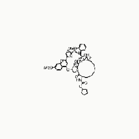 COc1ccc2c(O[C@@H]3C[C@H]4C(=O)N[C@]5(P(=O)(O)Cc6ccccc6OC)C[C@H]5CCCCCCC[C@H](NC(=O)OC5CCCC5)C(=O)N4C3)cc(-c3csc(NC(C)C)n3)nc2c1